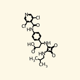 CC(C)CNc1c(NC(CC(=O)O)c2ccc(NC(=O)c3c(Cl)cncc3Cl)cc2)c(=O)c1=O